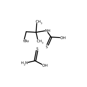 CC(C)(C)CC(C)(C)NC(O)=S.NC(O)=S